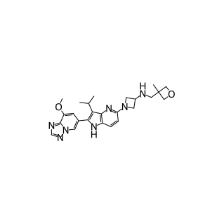 COc1cc(-c2[nH]c3ccc(N4CC(NCC5(C)COC5)C4)nc3c2C(C)C)cn2ncnc12